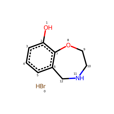 Br.Oc1cccc2c1OCCNC2